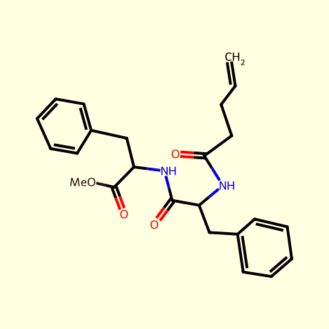 C=CCCC(=O)NC(Cc1ccccc1)C(=O)NC(Cc1ccccc1)C(=O)OC